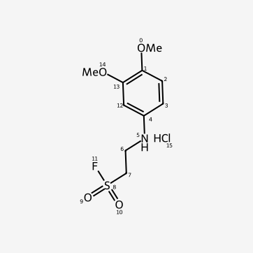 COc1ccc(NCCS(=O)(=O)F)cc1OC.Cl